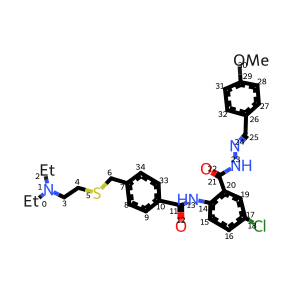 CCN(CC)CCSCc1ccc(C(=O)Nc2ccc(Cl)cc2C(=O)NN=Cc2ccc(OC)cc2)cc1